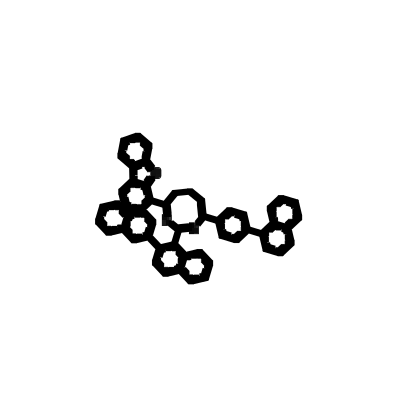 C1=C(c2ccc(-c3cccc4ccccc34)cc2)/N=C(c2c(-c3ccc4ccccc4c3)ccc3ccccc23)\N=C(\c2cccc3c2oc2ccccc23)CC\1